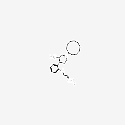 C=CCOc1ccccc1C1CCN(C2CCCCCCCCC2)CC1O